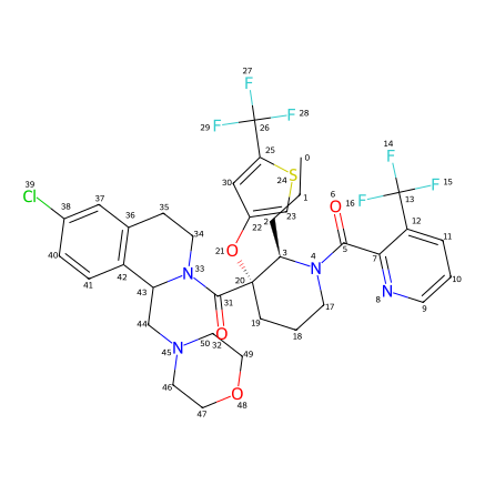 CCC[C@H]1N(C(=O)c2ncccc2C(F)(F)F)CCC[C@@]1(Oc1csc(C(F)(F)F)c1)C(=O)N1CCc2cc(Cl)ccc2C1CN1CCOCC1